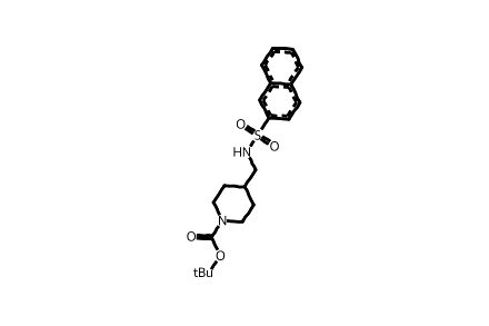 CC(C)(C)OC(=O)N1CCC(CNS(=O)(=O)c2ccc3ccccc3c2)CC1